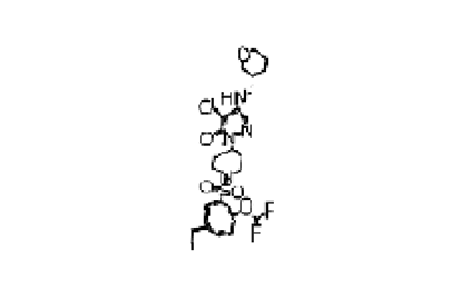 CCc1ccc(OC(F)F)c(S(=O)(=O)N2CCC(n3ncc(NC[C@H]4CCCOC4)c(Cl)c3=O)CC2)c1